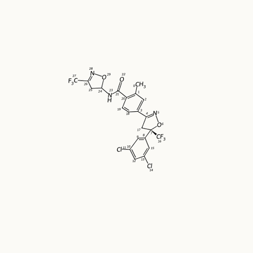 Cc1cc(C2=NO[C@@](c3cc(Cl)cc(Cl)c3)(C(F)(F)F)C2)ccc1C(=O)NC1CC(C(F)(F)F)=NO1